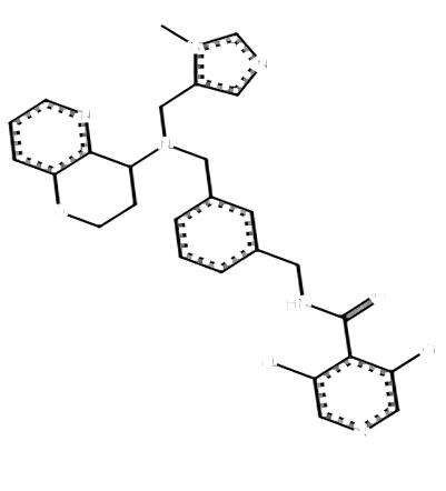 Cn1cncc1CN(Cc1cccc(CNC(=O)c2c(Cl)cncc2Cl)c1)C1CCOc2cccnc21